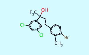 Cc1cc(CCC(O)(c2cc(Cl)cc(Cl)c2)C(F)(F)F)ccc1Br